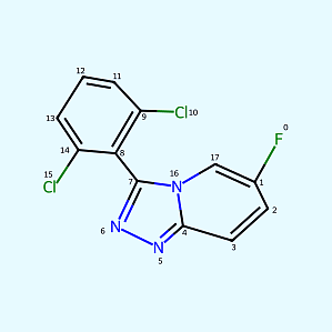 Fc1ccc2nnc(-c3c(Cl)cccc3Cl)n2c1